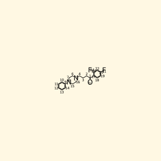 O=C(CCCN1CCN(c2ccccc2)CC1)c1ccc(F)cc1F